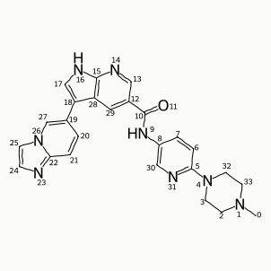 CN1CCN(c2ccc(NC(=O)c3cnc4[nH]cc(-c5ccc6nccn6c5)c4c3)cn2)CC1